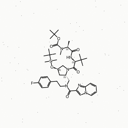 C[C@@H](C(=O)N[C@H](C(=O)N1C[C@H](O[Si](C)(C)C(C)(C)C)C[C@H]1CN(CCc1ccc(F)cc1)C(=O)c1cn2ccccc2n1)C(C)(C)C)N(C)C(=O)OC(C)(C)C